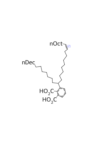 CCCCCCCC/C=C\CCCCCCCCC(CCCCCCCCCCCCCCCCC)c1cccc(C(=O)O)c1C(=O)O